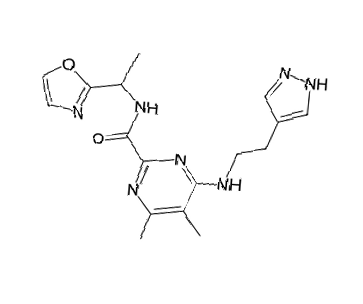 Cc1nc(C(=O)NC(C)c2ncco2)nc(NCCc2cn[nH]c2)c1C